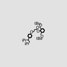 CC(C)CC(c1ccc(OCCC(=O)Oc2c(COC(C)(C)C)cccc2COC(C)(C)C)cc1)C(C)C